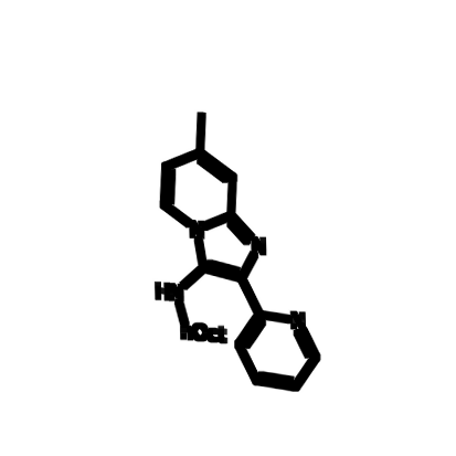 CCCCCCCCNc1c(-c2ccccn2)nc2cc(C)ccn12